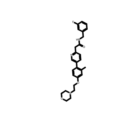 Cc1cc(OCCN2CCOCC2)ccc1-c1ccc(CC(=O)NCc2cccc(F)c2)nc1